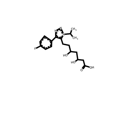 CC(C)n1nnc(-c2ccc(F)cc2)c1CCC(O)CC(O)CC(=O)O